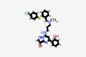 CN(CCCNc1cc(-c2ccccc2O)nc2c(Br)cnn12)Cc1ccccc1Sc1ccc(Cl)cc1